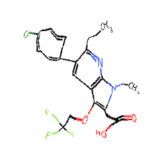 CCc1nc2c(cc1-c1ccc(Cl)cc1)c(OCC(F)(F)F)c(C(=O)O)n2C